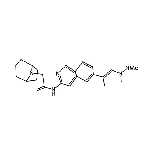 C=C(CN1C2CCCC1CC2)Nc1cc2cc(/C(C)=C/N(C)NC)ccc2cn1